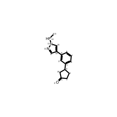 O=C1CCC(c2cccc(-c3cnn(PI)c3)c2)C1